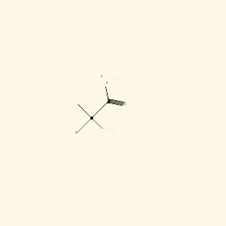 CCC(C)(I)C(N)=O